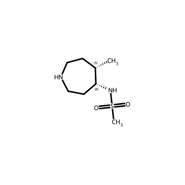 C[C@H]1CCNCC[C@H]1NS(C)(=O)=O